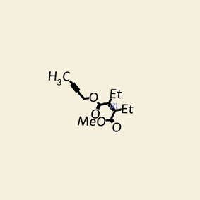 CC#CCOC(=O)/C(CC)=C(/CC)C(=O)OC